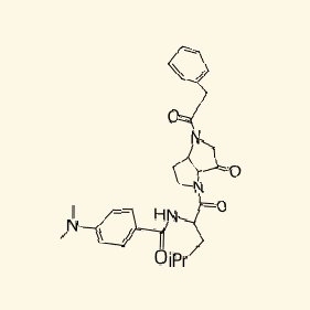 CC(C)CC(NC(=O)c1ccc(N(C)C)cc1)C(=O)N1CCC2C1C(=O)CN2C(=O)Cc1ccccc1